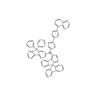 c1ccc(C2(c3ccccc3)c3ccccc3-c3ccc(N(c4ccc(-c5ccc(-c6cccc7ccccc67)cc5)cc4)c4cccc5c4-c4ccccc4C54c5ccccc5-c5ccccc54)cc32)cc1